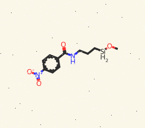 CO[SiH2]CCCNC(=O)c1ccc([N+](=O)[O-])cc1